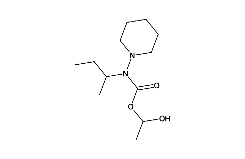 CCC(C)N(C(=O)OC(C)O)N1CCCCC1